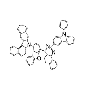 CCC1C(c2ccc(-n3c4cc5ccccc5cc4c4c5ccccc5ccc43)c3c2oc2ccccc23)=NC(c2ccc3c(c2)c2ccccc2n3-c2ccccc2)=NC1c1ccccc1